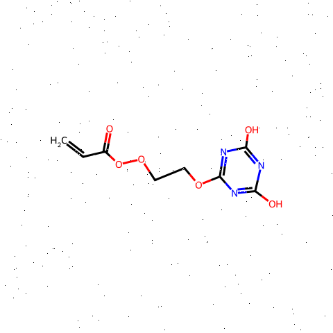 C=CC(=O)OOCCOc1nc(O)nc(O)n1